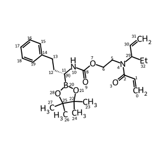 C=CC(=O)N(CCOC(=O)N[C@@H](CCc1ccccc1)B1OC(C)(C)C(C)(C)O1)C(C=C)CC